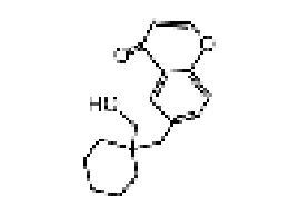 O=c1ccoc2ccc(CC3(CO)CCCCC3)cc12